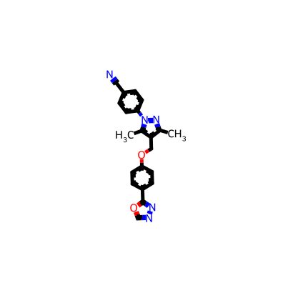 Cc1nn(-c2ccc(C#N)cc2)c(C)c1COc1ccc(-c2nnco2)cc1